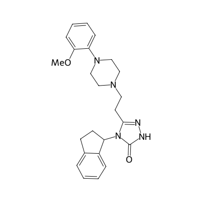 COc1ccccc1N1CCN(CCc2n[nH]c(=O)n2C2CCc3ccccc32)CC1